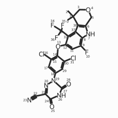 CC1(C)COCc2[nH]c3c(F)cc(Oc4c(Cl)cc(-n5nc(C#N)c(=O)[nH]c5=O)cc4Cl)c(C(F)(F)F)c3c21